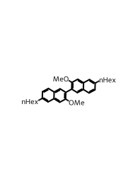 CCCCCCc1ccc2cc(-c3cc4ccc(CCCCCC)cc4cc3OC)c(OC)cc2c1